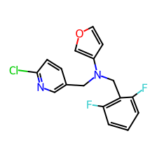 Fc1cccc(F)c1CN(Cc1ccc(Cl)nc1)c1ccoc1